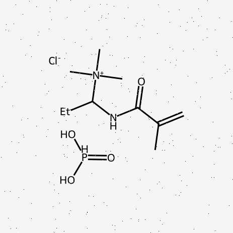 C=C(C)C(=O)NC(CC)[N+](C)(C)C.O=[PH](O)O.[Cl-]